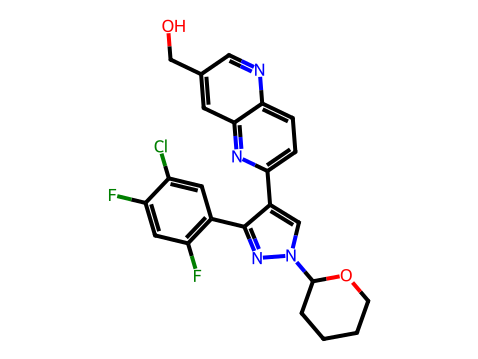 OCc1cnc2ccc(-c3cn(C4CCCCO4)nc3-c3cc(Cl)c(F)cc3F)nc2c1